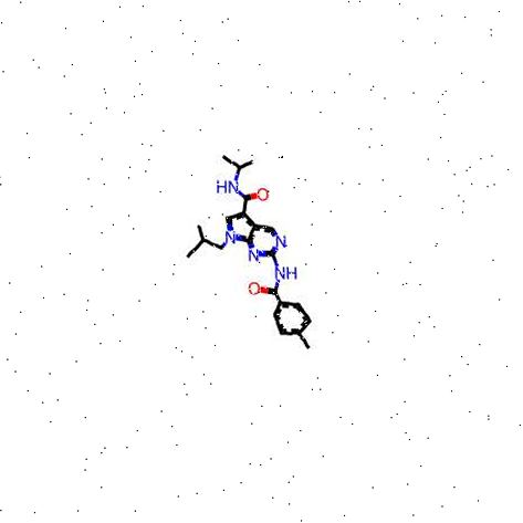 Cc1ccc(C(=O)Nc2ncc3c(C(=O)NC(C)C)cn(CC(C)C)c3n2)cc1